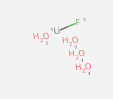 O.O.O.O.[Li][F]